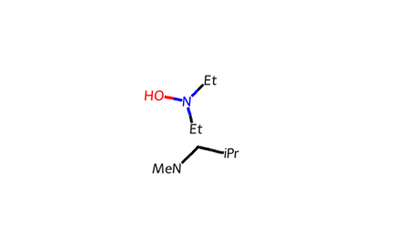 CCN(O)CC.CNCC(C)C